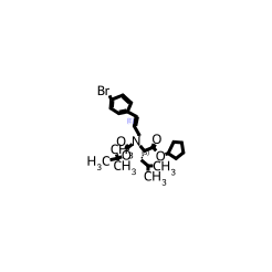 CC(C)C[C@@H](C(=O)OC1CCCC1)N(C/C=C/c1ccc(Br)cc1)C(=O)OC(C)(C)C